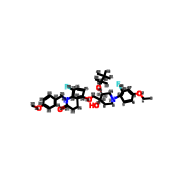 CCOc1ccc(N2CC[C@@](O)(COc3ccc(F)c4c3CCC(=O)N4Cc3ccc(OC)cc3)[C@H](O[Si](C)(C)C(C)(C)C)C2)c(F)c1